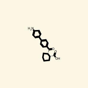 Nc1ccc(-c2ccc(C(=O)[C@H]3CCCC[C@H]3C(=O)O)cc2)cc1